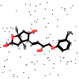 Cc1cccc(OC[C@H](O)/C=C/[C@@H]2[C@H]3CC(O)O[C@H]3C[C@H]2O)c1